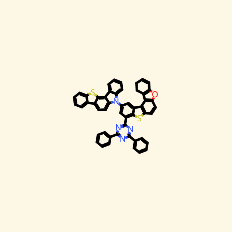 C1=Cc2oc3ccc4sc5c(-c6nc(-c7ccccc7)nc(-c7ccccc7)n6)cc(-n6c7ccccc7c7c8sc9ccccc9c8ccc76)cc5c4c3c2CC1